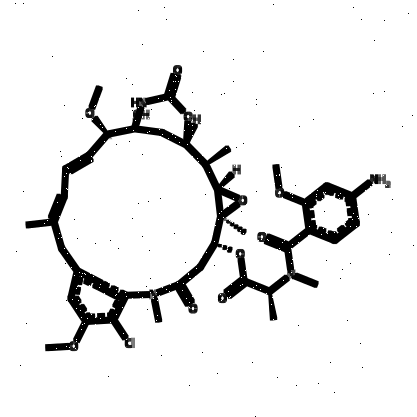 COc1cc(N)ccc1C(=O)N(C)[C@@H](C)C(=O)O[C@@H]1CC(=O)N(C)c2cc(cc(OC)c2Cl)C/C(C)=C/C=C/[C@@H](OC)[C@@]2(O)C[C@H](OC(=O)N2)[C@@H](C)[C@@H]2O[C@@]12C